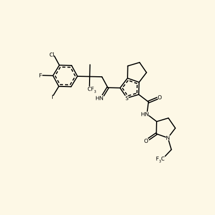 CC(CC(=N)c1sc(C(=O)NC2CCN(CC(F)(F)F)C2=O)c2c1CCC2)(c1cc(Cl)c(F)c(I)c1)C(F)(F)F